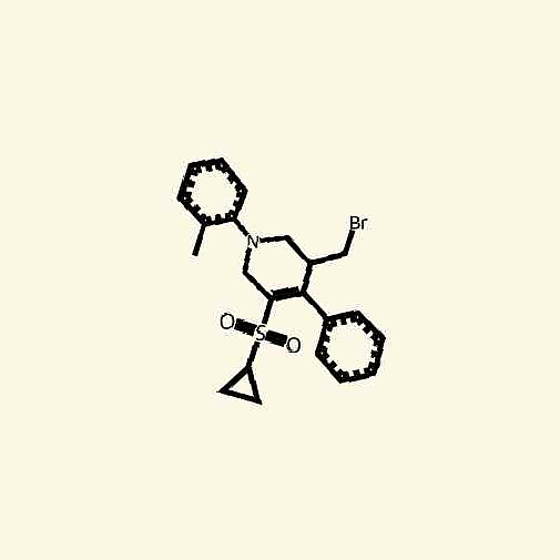 Cc1ccccc1N1CC(S(=O)(=O)C2CC2)=C(c2ccccc2)C(CBr)C1